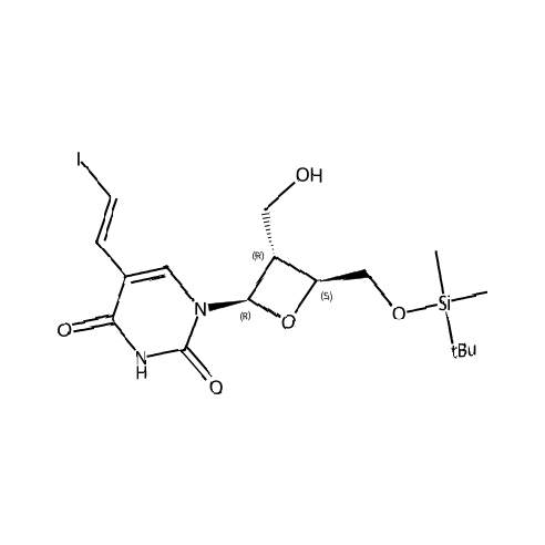 CC(C)(C)[Si](C)(C)OC[C@H]1O[C@@H](n2cc(C=CI)c(=O)[nH]c2=O)[C@@H]1CO